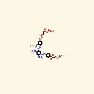 Nc1cc(N)c(N=Nc2ccc(SOOCCS(=O)OOO)cc2S(=O)(=O)O)cc1N=Nc1ccc(S(=O)(=O)CCOS(=O)(=O)O)cc1